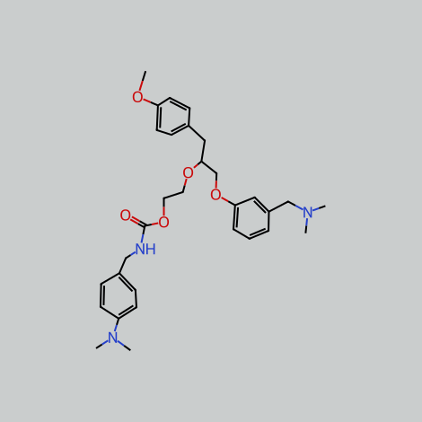 COc1ccc(CC(COc2cccc(CN(C)C)c2)OCCOC(=O)NCc2ccc(N(C)C)cc2)cc1